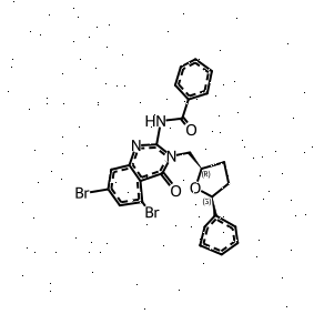 O=C(Nc1nc2cc(Br)cc(Br)c2c(=O)n1C[C@H]1CC[C@@H](c2ccccc2)O1)c1ccccc1